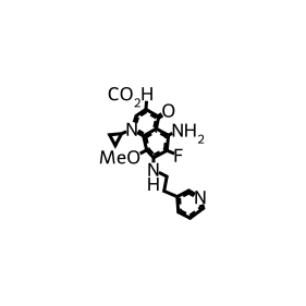 COc1c(NCCc2cccnc2)c(F)c(N)c2c(=O)c(C(=O)O)cn(C3CC3)c12